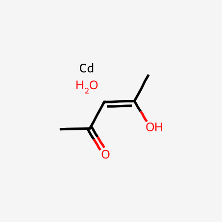 CC(=O)/C=C(/C)O.O.[Cd]